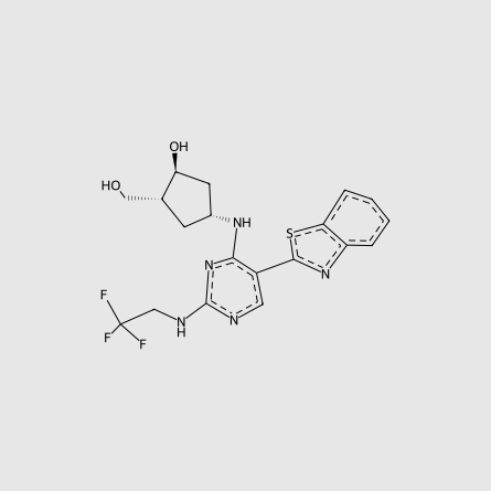 OC[C@H]1C[C@@H](Nc2nc(NCC(F)(F)F)ncc2-c2nc3ccccc3s2)C[C@@H]1O